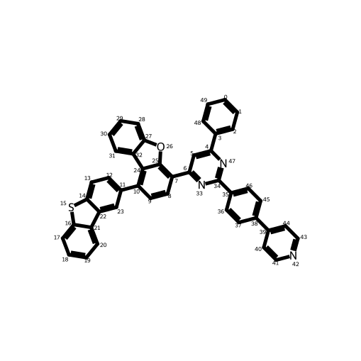 c1ccc(-c2cc(-c3ccc(-c4ccc5sc6ccccc6c5c4)c4c3oc3ccccc34)nc(-c3ccc(-c4ccncc4)cc3)n2)cc1